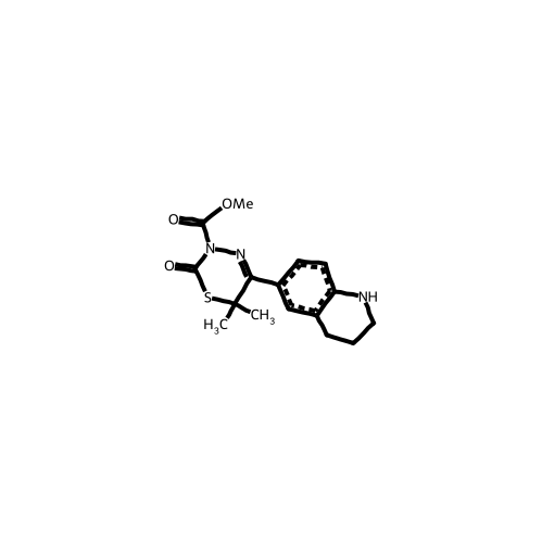 COC(=O)N1N=C(c2ccc3c(c2)CCCN3)C(C)(C)SC1=O